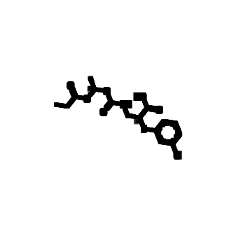 CCC(=O)O[C@@H](C)OC(=O)NC[C@H](Sc1cccc(Cl)c1)C(=O)O